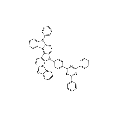 c1ccc(-c2nc(-c3ccccc3)nc(-c3ccc(-n4c5ccc6c(c7ccccc7n6-c6ccccc6)c5c5ccc6oc7ccccc7c6c54)cc3)n2)cc1